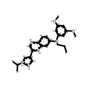 CCCN(c1cc(OC)cc(OC)c1)c1ccc2ncc(-c3cnn(C(C)C)c3)nc2c1